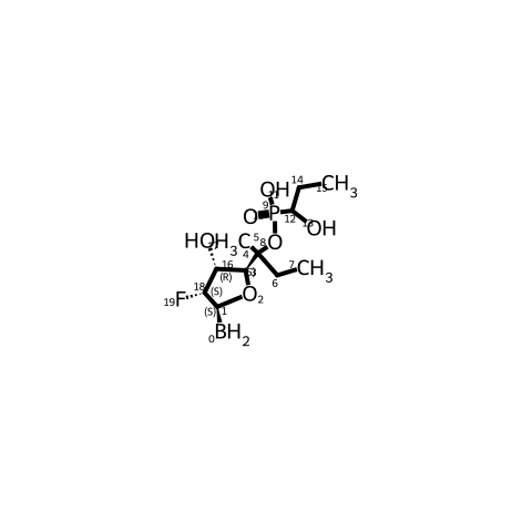 B[C@@H]1O[C@H](C(C)(CC)OP(=O)(O)C(O)CC)[C@@H](O)[C@H]1F